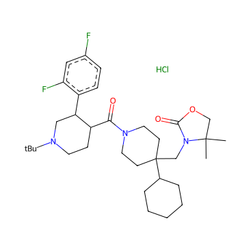 CC(C)(C)N1CCC(C(=O)N2CCC(CN3C(=O)OCC3(C)C)(C3CCCCC3)CC2)C(c2ccc(F)cc2F)C1.Cl